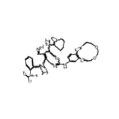 CCC(=O)Nc1ccccc1Nc1nc(Nc2ccc3c(c2)OCCOCCOCCO3)nc(NC2CCCCO2)c1C=N